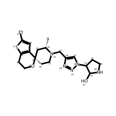 CCc1cc2c(s1)CCO[C@@]21CCN(Cc2cn(C3CCNC3O)nn2)[C@@H](C)C1